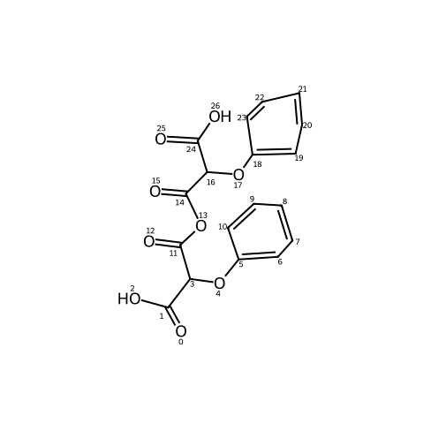 O=C(O)C(Oc1ccccc1)C(=O)OC(=O)C(Oc1ccccc1)C(=O)O